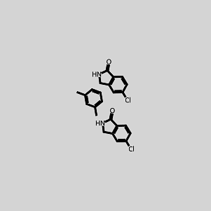 Cc1cccc(C)c1.O=C1NCc2cc(Cl)ccc21.O=C1NCc2cc(Cl)ccc21